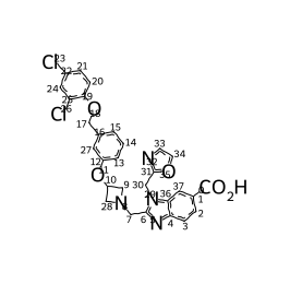 O=C(O)c1ccc2nc(CN3CC(Oc4cccc(COc5ccc(Cl)cc5Cl)c4)C3)n(Cc3ncco3)c2c1